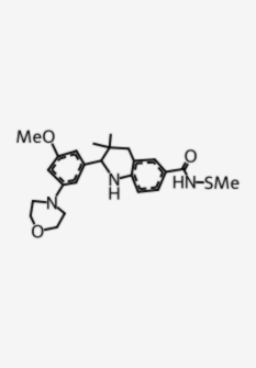 COc1cc(C2Nc3ccc(C(=O)NSC)cc3CC2(C)C)cc(N2CCOCC2)c1